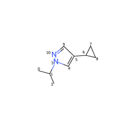 CC(C)n1cc(C2CC2)cn1